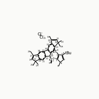 [CH2]=[Zr+2]([C]1=C(CC)C(C(C)(C)C)=CC1C)[CH]1c2cc3c(cc2-c2cc4c(cc21)C(C)(C)C=C4C)C(C)=CC3(C)C.[Cl-].[Cl-]